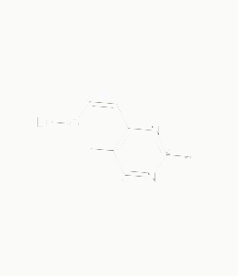 CCO/C=C\c1nc(Cl)ncc1F